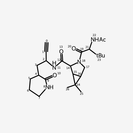 C#CC(CC1CCCNC1=O)NC(=O)C1C2C(CN1C(=O)C(NC(C)=O)C(C)(C)C)C2(C)C